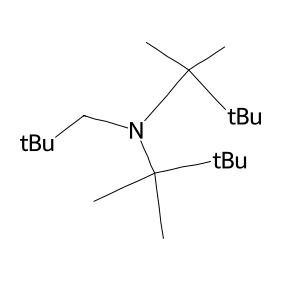 CC(C)(C)CN(C(C)(C)C(C)(C)C)C(C)(C)C(C)(C)C